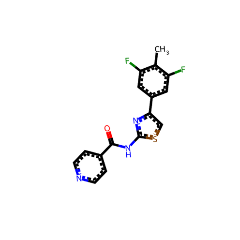 Cc1c(F)cc(-c2csc(NC(=O)c3ccncc3)n2)cc1F